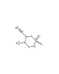 C#CC1CS(=O)(=O)OCC1C